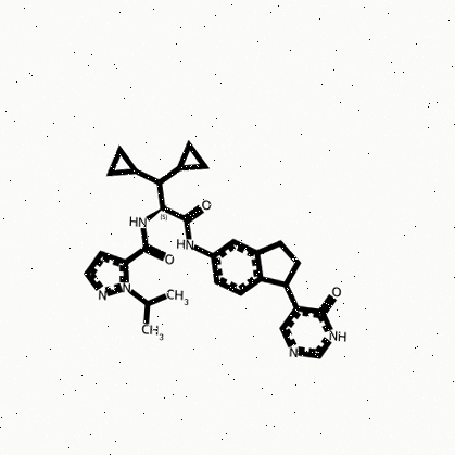 CC(C)n1nccc1C(=O)N[C@H](C(=O)Nc1ccc2c(c1)CCC2c1cnc[nH]c1=O)C(C1CC1)C1CC1